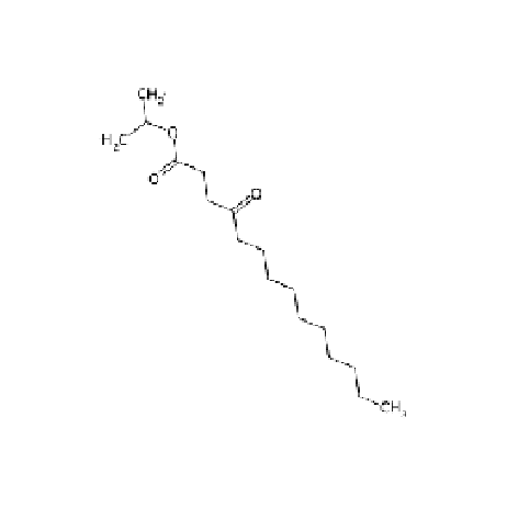 [CH2]C([CH2])OC(=O)CCC(=O)CCCCCCCCCC